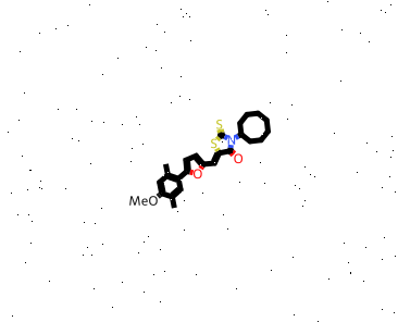 COc1cc(C)c(-c2ccc(/C=C3\SC(=S)N(C4CCCCCCC4)C3=O)o2)cc1C